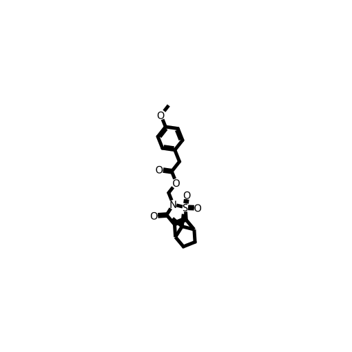 COc1ccc(CC(=O)OCN2C(=O)C3=C(C4CCC3C4(C)C)S2(=O)=O)cc1